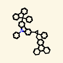 C1=Cc2c(c3c(c4cc(CC5(c6ccccc6)CC5c5ccc6c(c5)c5cc(C7(c8ccccc8)c8ccccc8-c8ccccc87)ccc5n6-c5ccccc5)ccc24)C=CCC3)CC1